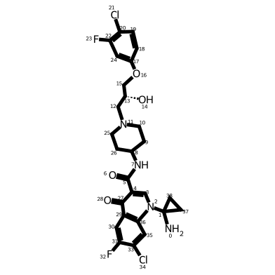 NC1(n2cc(C(=O)NC3CCN(C[C@@H](O)COc4ccc(Cl)c(F)c4)CC3)c(=O)c3cc(F)c(Cl)cc32)CC1